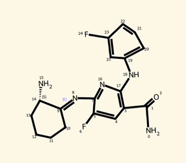 NC(=O)c1cc(F)c(/N=C2\CCCC[C@@H]2N)nc1Nc1cccc(F)c1